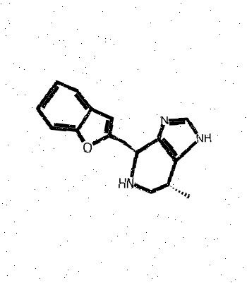 C[C@@H]1CN[C@@H](c2cc3ccccc3o2)c2nc[nH]c21